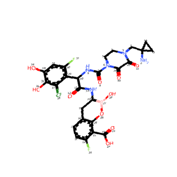 NC1(CN2CCN(C(=O)NC(C(=O)NC3Cc4ccc(F)c(C(=O)O)c4OB3O)c3c(F)cc(O)c(O)c3Cl)C(=O)C2=O)CC1